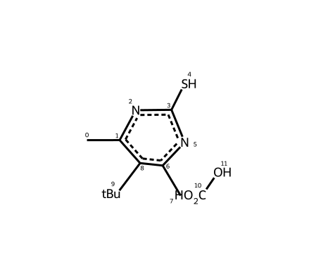 Cc1nc(S)nc(C)c1C(C)(C)C.O=C(O)O